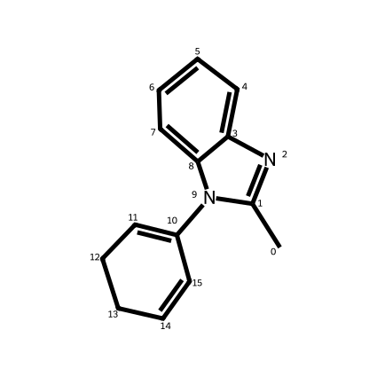 Cc1nc2ccccc2n1C1=CCCC=C1